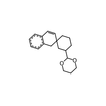 [CH]1COC(C2CCCC3(C=Cc4ccccc4C3)C2)OC1